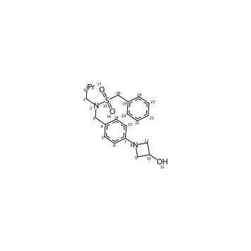 CC(C)CN(Cc1ccc(N2CC(O)C2)cc1)S(=O)(=O)Cc1ccccc1